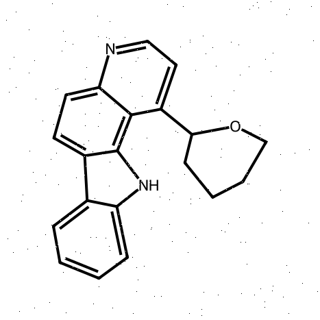 c1ccc2c(c1)[nH]c1c2ccc2nccc(C3CCCCO3)c21